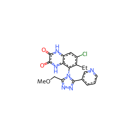 CCc1c(Cl)cc2[nH]c(=O)c(=O)[nH]c2c1-n1c(COC)nnc1-c1cccnc1